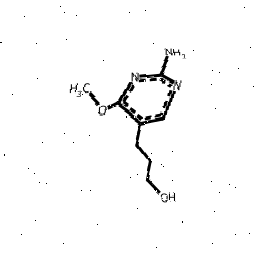 COc1nc(N)ncc1CCCO